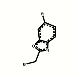 BrCc1nc2ccc(Br)cc2o1